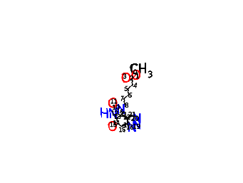 COC(=O)CCCCCN1C(=O)NC2C(=O)C=c3nnncc3=C21